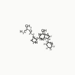 CC(C)OCCn1ccnc1-c1nc(O)c2scc(-c3ccccn3)c2n1